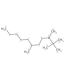 CCCCCC(C)CCB(C)C(C)(C)C